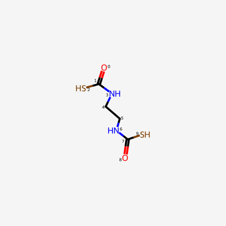 O=C(S)NCCNC(=O)S